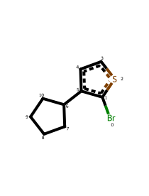 Brc1sccc1C1CCCC1